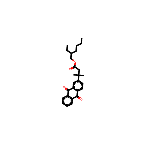 CCCCC(CC)COC(=O)CC(C)(C)c1ccc2c(c1)C(=O)c1ccccc1C2=O